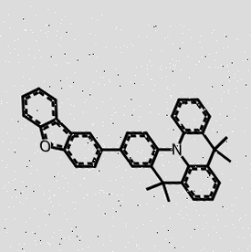 CC1(C)c2ccccc2N2c3ccc(-c4ccc5oc6ccccc6c5c4)cc3C(C)(C)c3cccc1c32